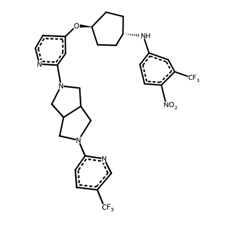 O=[N+]([O-])c1ccc(N[C@H]2CC[C@H](Oc3ccnc(N4CC5CN(c6ccc(C(F)(F)F)cn6)CC5C4)c3)CC2)cc1C(F)(F)F